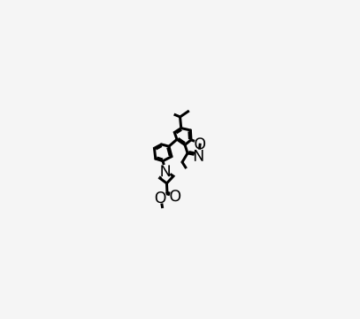 CCc1noc2cc(C(C)C)cc(-c3cccc(N4CC(C(=O)OC)C4)c3)c12